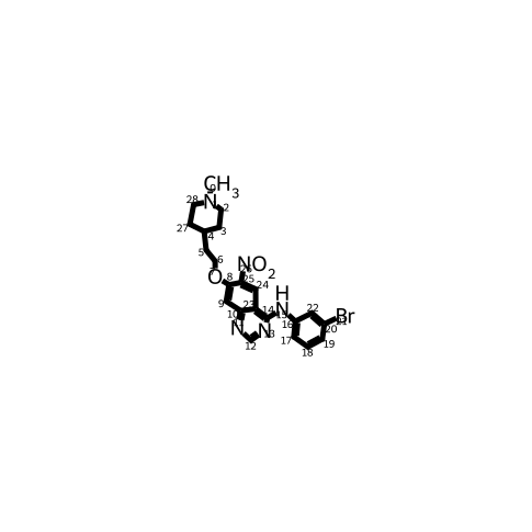 CN1CCC(CCOc2cc3ncnc(Nc4cccc(Br)c4)c3cc2[N+](=O)[O-])CC1